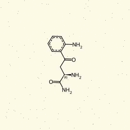 NC(=O)[C@H](N)CC(=O)c1ccccc1N